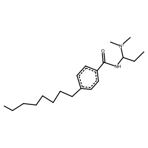 CCCCCCCCc1ccc(C(=O)NC(CC)[N+](C)C)cc1